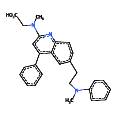 CN(CCc1ccc2nc(N(C)CC(=O)O)cc(-c3ccccc3)c2c1)c1ccccc1